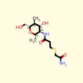 C[C@H]1[C@H](O)[C@@H](NC(=O)CCSCC(N)=O)[C@H](C)O[C@@H]1CO